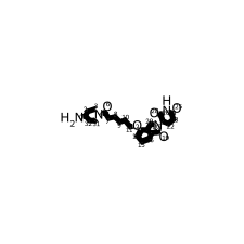 NC1CCN(C(=O)CCCCCOC2=CC=CC3C(=O)N(C4CCC(=O)NC4=O)CC23)CC1